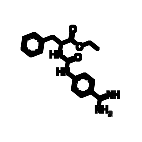 CCOC(=O)C(Cc1ccccc1)NC(=O)Nc1ccc(C(=N)N)cc1